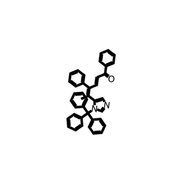 C/C(=C(/C=C/C(=O)c1ccccc1)c1ccccc1)c1cncn1C(c1ccccc1)(c1ccccc1)c1ccccc1